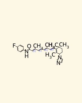 CC1=C(/C=C/C(C)=C/C=C/C(C)=C/C(=O)Nc2ccc(F)cc2)C(C)(C)CCC1n1ccnc1